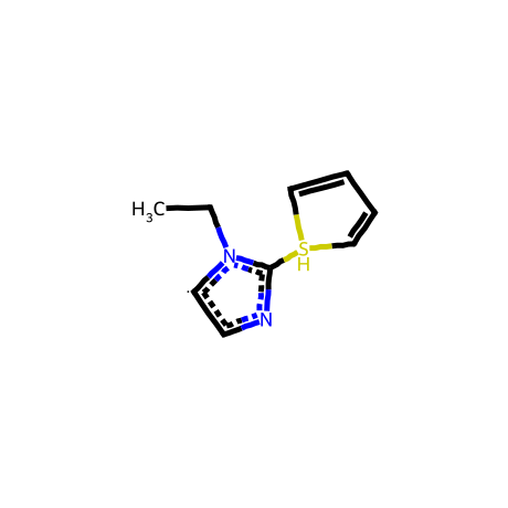 CCn1[c]cnc1[SH]1C=CC=C1